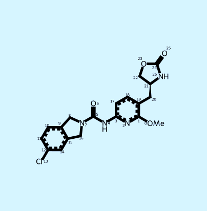 COc1nc(NC(=O)N2Cc3ccc(Cl)cc3C2)ccc1C[C@H]1COC(=O)N1